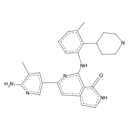 Cc1cc(-c2cc3cc[nH]c(=O)c3c(Nc3cccc(C)c3C3CC[N]CC3)n2)cnc1N